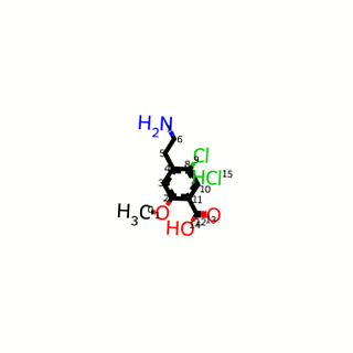 COc1cc(CCN)c(Cl)cc1C(=O)O.Cl